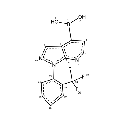 OB(O)c1ccnc2c1cnn2-c1ccccc1C(F)(F)F